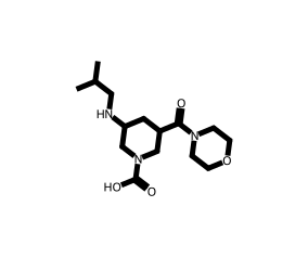 CC(C)CNC1CC(C(=O)N2CCOCC2)CN(C(=O)O)C1